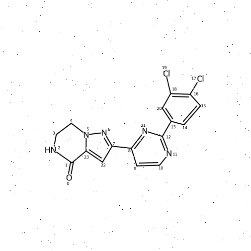 O=C1NCCn2nc(-c3ccnc(-c4ccc(Cl)c(Cl)c4)n3)cc21